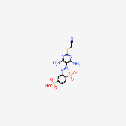 N#CCSc1nc(N)c(/N=N/c2cc(S(=O)(=O)O)ccc2S(=O)(=O)O)c(N)n1